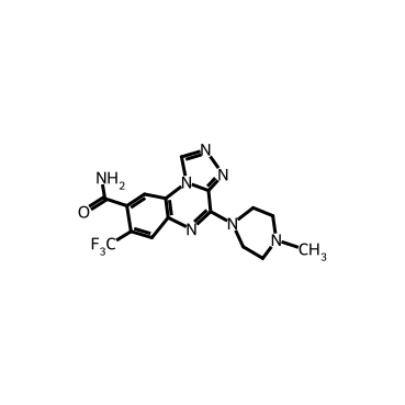 CN1CCN(c2nc3cc(C(F)(F)F)c(C(N)=O)cc3n3cnnc23)CC1